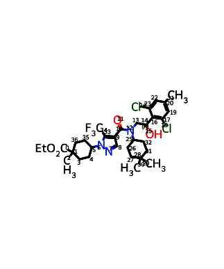 CCOC(=O)C1(C)CCC(n2ncc(C(=O)N(C[C@H](O)c3c(Cl)cc(C)cc3Cl)C3CCC(C)(C)CC3)c2C(F)(F)F)CC1